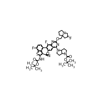 CC(C)(C)OC(=O)Nc1sc2c(F)ccc(-c3c(Cl)cc4c(N5CCC6C5CCN6C(=O)OC(C)(C)C)nc(OCC56CCCN5C[C@H](F)C6)nc4c3F)c2c1C#N